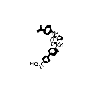 C=C(C)c1ccc(NC(=O)N2CCC[C@@H]2C(=O)Nc2ccc(-c3ccc(C(=O)O)cc3)cc2)cc1